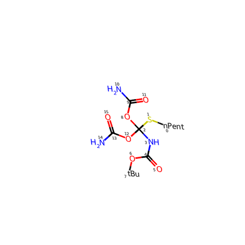 CCCCCSC(NC(=O)OC(C)(C)C)(OC(N)=O)OC(N)=O